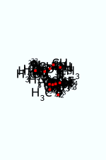 CCC1OC(=O)C(C)C(O[C@H]2C[C@@](C)(OC)[C@](O)(CN3CCCCC3)[C@H](C)O2)C(C)C(O[C@@H]2O[C@H](C)C[C@H](N(C3CCCCC3)S(=O)(=O)Nc3ccc(C(F)(F)F)cc3)[C@H]2O)C(C)(O)CC(C)CNC(C)C(O)C1(C)O